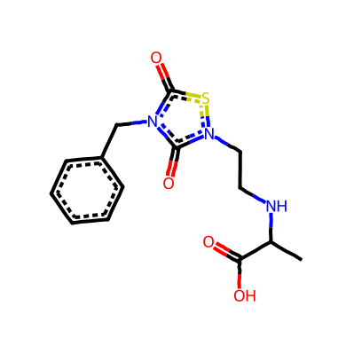 CC(NCCn1sc(=O)n(Cc2ccccc2)c1=O)C(=O)O